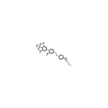 CCCCOc1ccc(CCc2ccc(-c3cc(F)c(C(F)(F)F)c(F)c3)c(F)c2)cc1